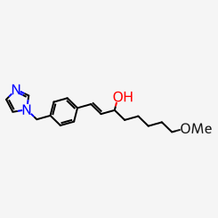 COCCCCCC(O)C=Cc1ccc(Cn2ccnc2)cc1